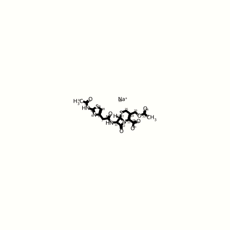 CC(=O)Nc1nc(CC(=O)NC2C(=O)N3C(C(=O)[O-])=C(COC(C)=O)CS[C@@H]23)cs1.[Na+]